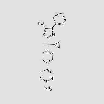 CC(c1ccc(-c2cnc(N)nc2)cc1)(c1cc(O)n(-c2ccccc2)n1)C1CC1